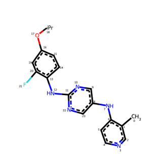 Cc1cnccc1Nc1cnc(Nc2ccc(OC(C)C)cc2F)nc1